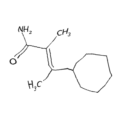 C/C(C(N)=O)=C(/C)C1CCCCC1